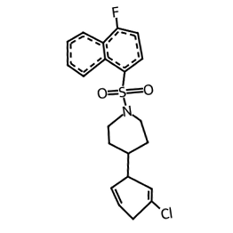 O=S(=O)(c1ccc(F)c2ccccc12)N1CCC(C2C=CCC(Cl)=C2)CC1